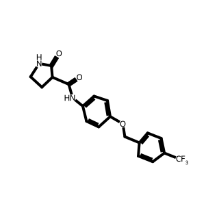 O=C1NCCC1C(=O)Nc1ccc(OCc2ccc(C(F)(F)F)cc2)cc1